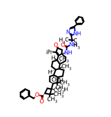 CC(C)C1=C2[C@H]3CC[C@@H]4[C@]5(C)CC[C@H]([C@@]6(C(=O)O)C[C@@H](C(=O)OCc7ccccc7)C6(C)C)C(C)(C)[C@H]5CC[C@@]4(C)[C@]3(C)CC[C@@]2(NC(=O)NC(C)(C)c2ncc(-c3ccccc3)[nH]2)CC1=O